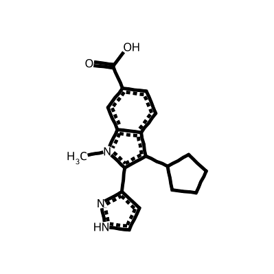 Cn1c(-c2cc[nH]n2)c(C2CCCC2)c2ccc(C(=O)O)cc21